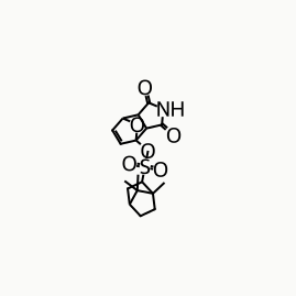 CC1(C)C2CCC1(C)C(S(=O)(=O)OC13C=CC(O1)C1C(=O)NC(=O)C13)C2